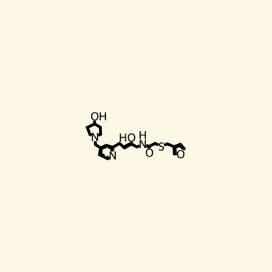 O=C(CSCc1ccoc1)NCC(O)=CCc1cc(CN2CCC(O)CC2)ccn1